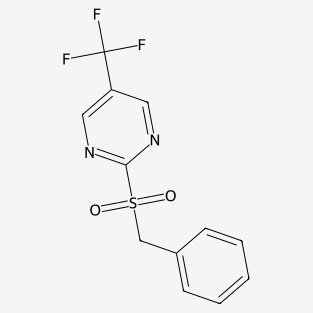 O=S(=O)(Cc1ccccc1)c1ncc(C(F)(F)F)cn1